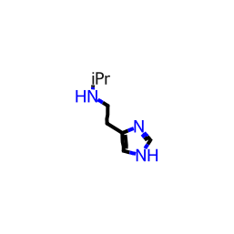 CC(C)NCCc1c[nH]cn1